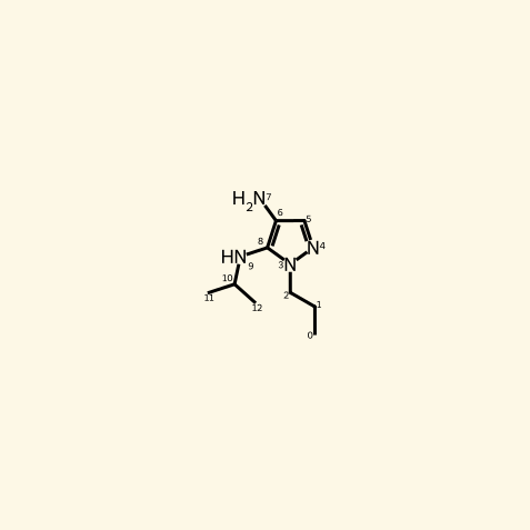 CCCn1ncc(N)c1NC(C)C